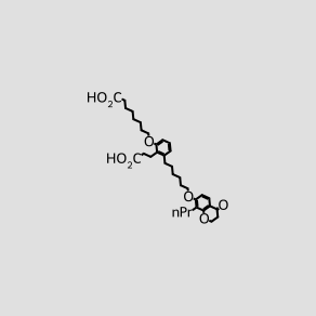 CCCc1c(OCCCCCCc2cccc(OCCCCCCCC(=O)O)c2CCC(=O)O)ccc2c1OCCC2=O